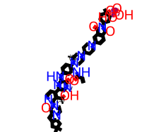 C=CC(=O)Nc1cc(Nc2nc(-c3ccnc(N4CCn5c(cc6c5CC(C)(C)C6)C4=O)c3[C@H](C)O)cn(C)c2=O)ccc1N1CCN(C2CCN(c3ccc4c(c3)C(=O)N(C3CCC(C)(OP(=O)(O)O)CC3)C4=O)CC2)C[C@@H]1C